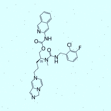 CN(C(=O)NCc1cccc(F)c1Cl)[C@@H](CCCN1C=CN2CN=CC2=C1)COC(=O)Nc1cc2ccccc2cn1